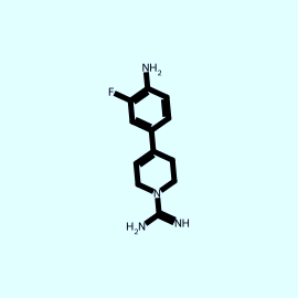 N=C(N)N1CC=C(c2ccc(N)c(F)c2)CC1